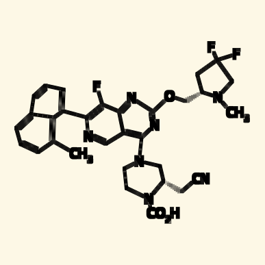 Cc1cccc2cccc(-c3ncc4c(N5CCN(C(=O)O)[C@@H](CC#N)C5)nc(OC[C@@H]5CC(F)(F)CN5C)nc4c3F)c12